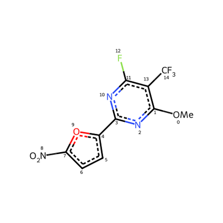 COc1nc(-c2ccc([N+](=O)[O-])o2)nc(F)c1C(F)(F)F